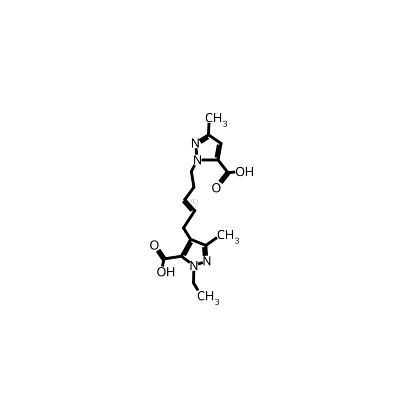 CCn1nc(C)c(C/C=C/CCn2nc(C)cc2C(=O)O)c1C(=O)O